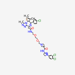 Cc1sc2c(c1C)C(c1ccc(Cl)cc1)=N[C@@H](CC(=O)NCCOCCOCCN1CC[C@@H](C(=O)NC3=NN(c4ccc(Cl)c(Cl)c4)CC3)C1)c1nnc(C)n1-2